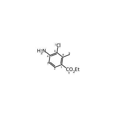 CCOC(=O)c1ccc(N)c(Cl)c1C